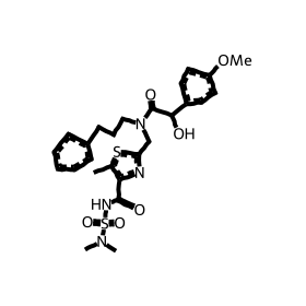 COc1ccc(C(O)C(=O)N(CCCc2ccccc2)Cc2nc(C(=O)NS(=O)(=O)N(C)C)c(C)s2)cc1